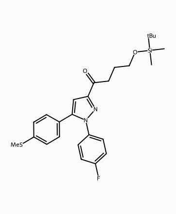 CSc1ccc(-c2cc(C(=O)CCCO[Si](C)(C)C(C)(C)C)nn2-c2ccc(F)cc2)cc1